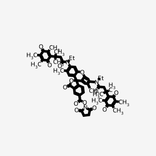 CCN(C(=O)CC(C)(C)C1=C(C)C(=O)C(C)=C(C)C1=O)c1cc2c(cc1C)C1(OC(=O)c3cc(C(=O)ON4C(=O)CCC4=O)ccc31)c1cc(C)c(N(CC)C(=O)CC(C)(C)C3=C(C)C(=O)C(C)=C(C)C3=O)cc1O2